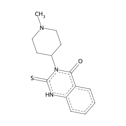 CN1CCC(n2c(=S)[nH]c3ccccc3c2=O)CC1